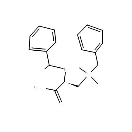 COC(=O)[C@H](C[Si](C)(C)Cc1ccccc1)NC(c1ccccc1)C(F)(F)F